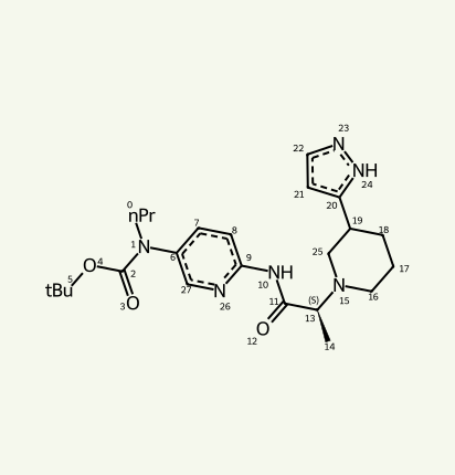 CCCN(C(=O)OC(C)(C)C)c1ccc(NC(=O)[C@H](C)N2CCCC(c3ccn[nH]3)C2)nc1